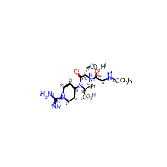 CC(C)[C@@H](C(=O)O)N(C(=O)[C@H](CC(=O)O)NC(=O)CNC(=O)O)C1CCN(C(=N)N)CC1